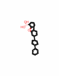 OB(O)c1cccc2c1oc1cc(-c3ccc(-c4ccccc4)cc3)ccc12